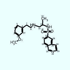 COc1cccc(CCNCC(C)NS(=O)(=O)c2ccc3cnccc3c2)c1